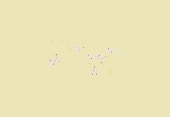 Nc1nc(/C(=N/O)C(=O)NC2C(=O)N3C(C(=O)O)=C(Sc4nncs4)CCC23)c(Cl)s1